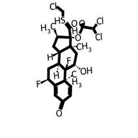 C[C@@H]1C[C@H]2[C@@H]3C[C@H](F)C4=CC(=O)C=C[C@]4(C)[C@@]3(F)[C@@H](O)C[C@]2(C)[C@]1(OC(=O)C(Cl)Cl)C(O)=[SH]CCl